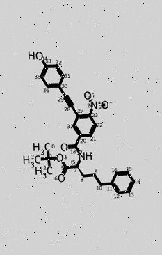 CC(C)(C)OC(=O)[C@H](CCCc1ccccc1)NC(=O)c1ccc([N+](=O)[O-])c(C#Cc2ccc(O)cc2)c1